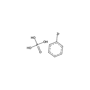 O=P(O)(O)O.[Zr][c]1ccccc1